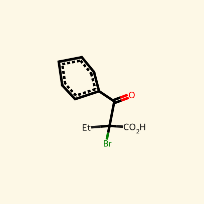 CCC(Br)(C(=O)O)C(=O)c1ccccc1